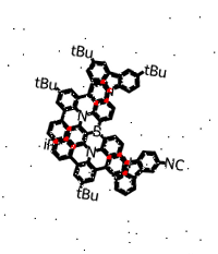 [C-]#[N+]c1ccc2c(c1)c1ccccc1n2-c1ccc2c(c1)N(c1c(-c3ccccc3)cc(C(C)(C)C)cc1-c1ccccc1)c1cc(C(C)C)cc3c1B2c1ccc(-n2c4ccc(C(C)(C)C)cc4c4cc(C(C)(C)C)ccc42)cc1N3c1c(-c2ccccc2)cc(C(C)(C)C)cc1-c1ccccc1